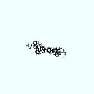 CC(C)(C)OC(=O)N1CCC[C@H]1c1nnc(-c2ccc(B3OC(C)(C)C(C)(C)O3)cc2)o1